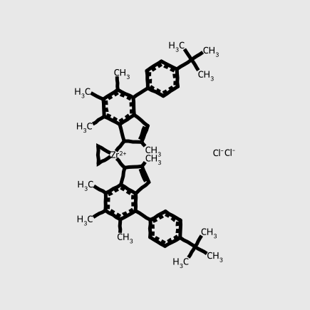 CC1=Cc2c(-c3ccc(C(C)(C)C)cc3)c(C)c(C)c(C)c2[CH]1[Zr+2]1([CH]2C(C)=Cc3c(-c4ccc(C(C)(C)C)cc4)c(C)c(C)c(C)c32)[CH2][CH2]1.[Cl-].[Cl-]